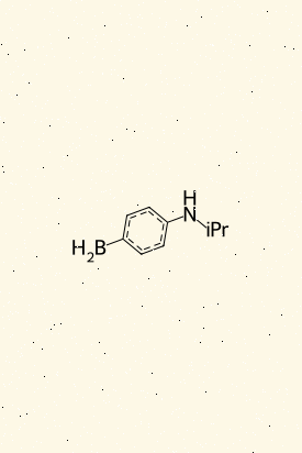 Bc1ccc(NC(C)C)cc1